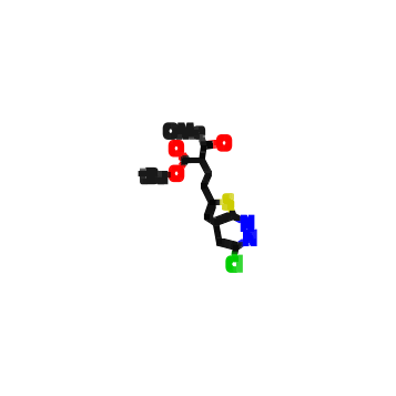 COC(=O)C(CCc1cc2cc(Cl)nnc2s1)C(=O)OC(C)(C)C